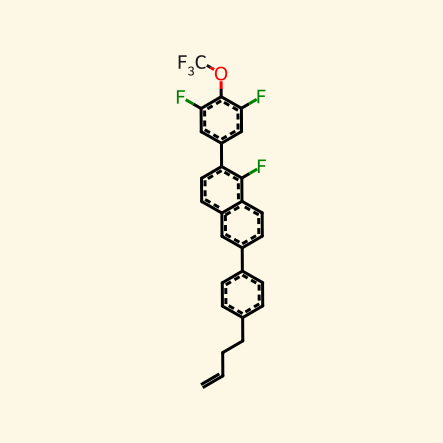 C=CCCc1ccc(-c2ccc3c(F)c(-c4cc(F)c(OC(F)(F)F)c(F)c4)ccc3c2)cc1